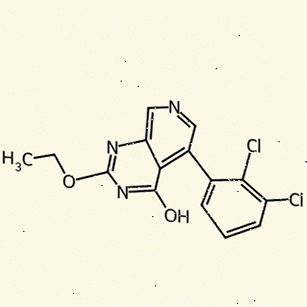 CCOc1nc(O)c2c(-c3cccc(Cl)c3Cl)cncc2n1